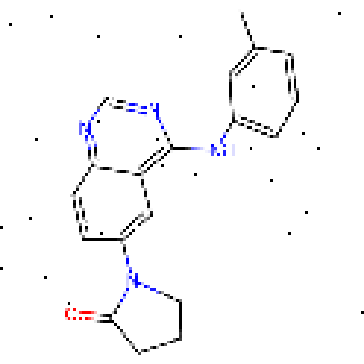 Cc1cccc(Nc2ncnc3ccc(N4CCCC4=O)cc23)c1